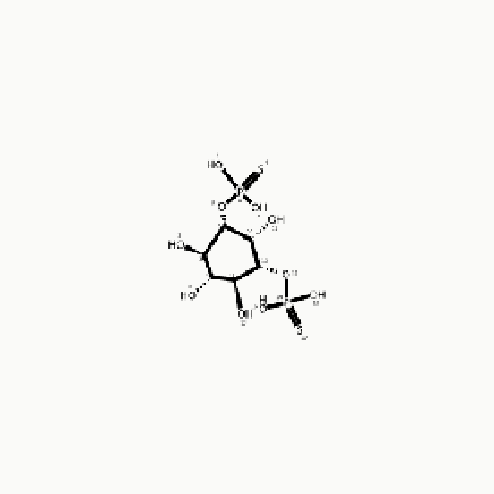 O[C@@H]1[C@@H](O)[C@H](OP(O)(O)=S)[C@H](O)[C@H](OP(O)(O)=S)[C@H]1O